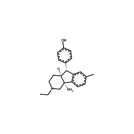 CCN1CC[C@H]2[C@H](c3ccc(O)cc3)c3cc(C)ccc3[C@@]2(N)C1